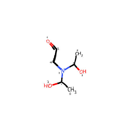 CC(O)N(CC=O)C(C)O